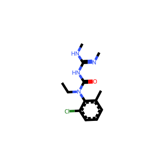 CCN(C(=O)NC(=NC)NC)c1c(C)cccc1Cl